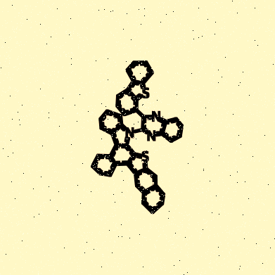 c1ccc2cc3c(cc2c1)sc1c3c2ccccc2c2c3ccccc3n(-c3nc4ccccc4nc3-c3cccc4c3sc3ccccc34)c12